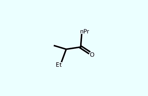 CCCC(=O)C(C)CC